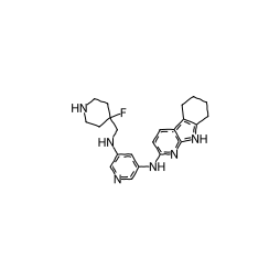 FC1(CNc2cncc(Nc3ccc4c5c([nH]c4n3)CCCC5)c2)CCNCC1